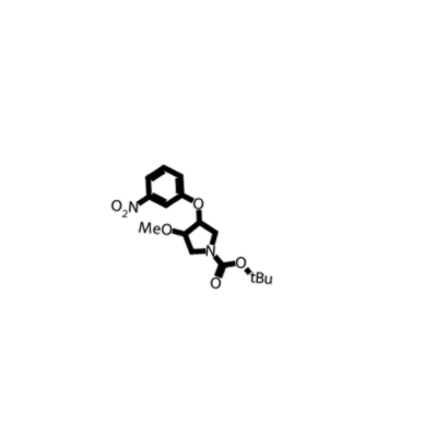 COC1CN(C(=O)OC(C)(C)C)CC1Oc1cccc([N+](=O)[O-])c1